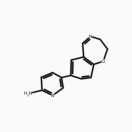 Nc1ccc(-c2ccc3c(c2)C=NCCO3)cn1